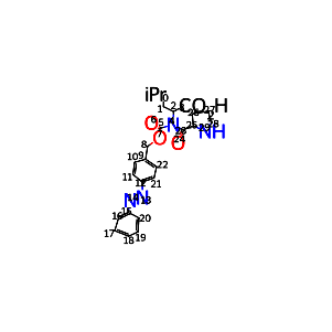 CC(C)CC(C(=O)O)N(C(=O)OCc1ccc(N=Nc2ccccc2)cc1)C(=O)C1CCCN1